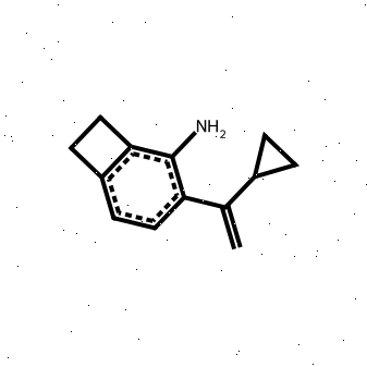 C=C(c1ccc2c(c1N)CC2)C1CC1